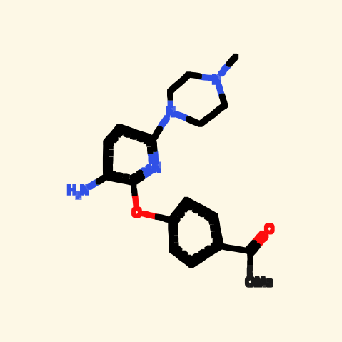 COC(=O)c1ccc(Oc2nc(N3CCN(C)CC3)ccc2N)cc1